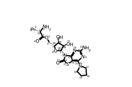 CC(C)[C@H](N)C(=O)OC[C@H]1O[C@@H](n2c(=O)sc3c(N4CCCC4)nc(N)nc32)[C@H](O)[C@@H]1O